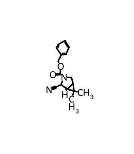 CC1(C)C2CN(C(=O)OCc3ccccc3)C(C#N)[C@H]21